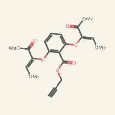 C#CCOC(=O)c1c(O/C(=C\OC)C(=O)OC)cccc1O/C(=C\OC)C(=O)OC